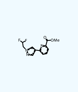 COC(=O)c1cccc(-c2cnn(CC(F)F)c2)n1